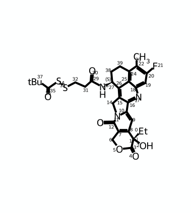 CC[C@@]1(O)C(=O)OCc2c1cc1n(c2=O)Cc2c-1nc1cc(F)c(C)c3c1c2[C@@H](NC(=O)CCSSC(=O)C(C)(C)C)CC3